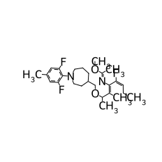 CC/C=C(/F)C(/N=C(\C)OC)=C(C)C(C)OCC1CCCN(c2c(F)cc(C)cc2F)CC1